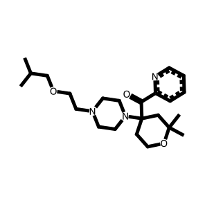 CC(C)COCCN1CCN(C2(C(=O)c3ccccn3)CCOC(C)(C)C2)CC1